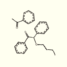 CC(=O)c1ccccc1.CCCCOC(C(=O)c1ccccc1)c1ccccc1